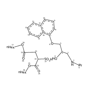 CC(C)NCC(O)COc1cccc2ccccc12.CCCCCCOC(=O)CC(C(=O)OCCCCCC)S(=O)(=O)O